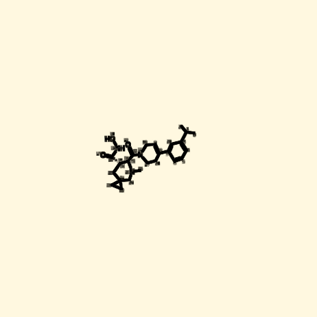 CC(C)c1cccc(C2=CCN(C(=O)[C@@H]3[C@@H](C(=O)NO)CC4(CC4)CN3C)CC2)c1